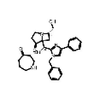 CC(C)(C)[C@@H](c1nc(-c2ccccc2)cn1Cc1ccccc1)C12C[C@@H](CO)N1CCC2=O.O=C1CCCNCC1